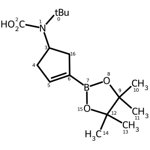 CC(C)(C)N(C(=O)O)C1CC=C(B2OC(C)(C)C(C)(C)O2)C1